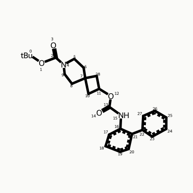 CC(C)(C)OC(=O)N1CCC2(CC1)CC(OC(=O)Nc1ccccc1-c1ccccc1)C2